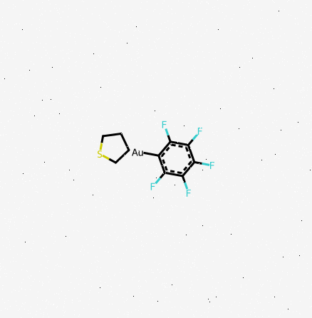 C1CCSC1.Fc1c(F)c(F)[c]([Au])c(F)c1F